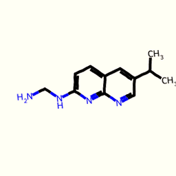 CC(C)c1cnc2nc(NCN)ccc2c1